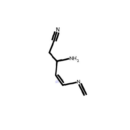 C=N/C=C\C(N)CC#N